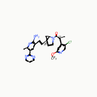 Cc1nc(N)c(CC[C@]23CCN(C(=O)[C@@H](C)c4cc(OC(F)(F)F)ncc4Cl)C2C3)cc1-c1ncccn1